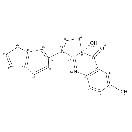 Cc1ccc2c(c1)C(=O)[C@]1(O)CCN(c3ccc4c(c3)CC=C4)C1=N2